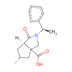 C[C@H](c1ccccc1)N1CC2(C(=O)O)CC(F)C[C@H]2C1=O